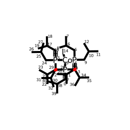 CC(C)C[PH](CC(C)C)(CC(C)C)[Co]([I])([PH](CC(C)C)(CC(C)C)CC(C)C)[PH](CC(C)C)(CC(C)C)CC(C)C